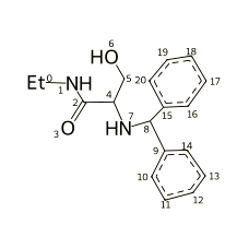 CCNC(=O)C(CO)NC(c1ccccc1)c1ccccc1